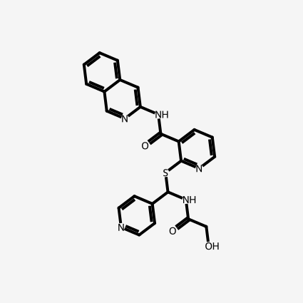 O=C(CO)NC(Sc1ncccc1C(=O)Nc1cc2ccccc2cn1)c1ccncc1